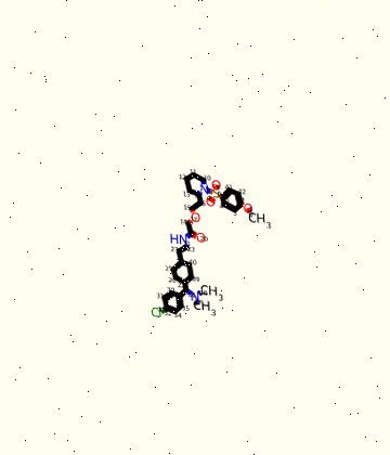 COc1ccc(S(=O)(=O)N2CCCCC2CCOCC(=O)NCCC2CCC(C(c3ccc(Cl)cc3)N(C)C)CC2)cc1